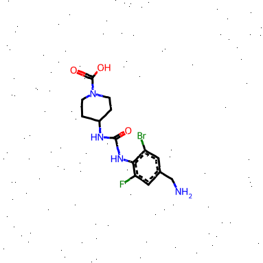 NCc1cc(F)c(NC(=O)NC2CCN(C(=O)O)CC2)c(Br)c1